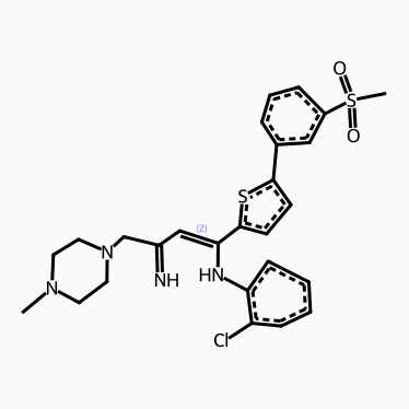 CN1CCN(CC(=N)/C=C(\Nc2ccccc2Cl)c2ccc(-c3cccc(S(C)(=O)=O)c3)s2)CC1